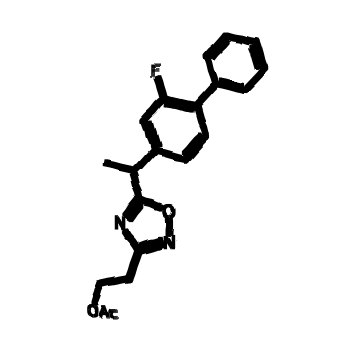 CC(=O)OCCc1noc(C(C)c2ccc(-c3ccccc3)c(F)c2)n1